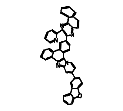 c1ccc(-c2nc3c(ccc4ccccc43)nc2-c2ccc3c(c2)c2ccccc2c2nc4cc(-c5ccc6oc7ccccc7c6c5)ccn4c32)nc1